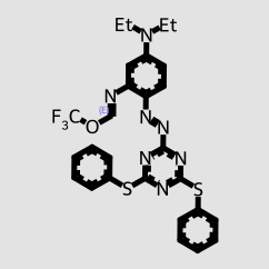 CCN(CC)c1ccc(N=Nc2nc(Sc3ccccc3)nc(Sc3ccccc3)n2)c(/N=C/OC(F)(F)F)c1